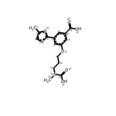 Cc1cnc(-c2cc(OCCCN(C)C(=O)O)cc(C(=O)O)c2)s1